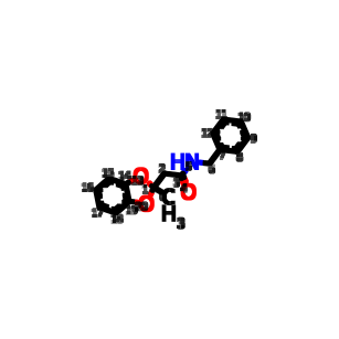 CC1(CC(=O)NCc2ccccc2)Oc2ccccc2O1